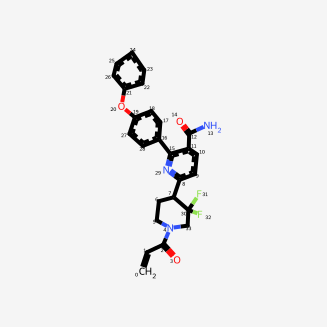 C=CC(=O)N1CCC(c2ccc(C(N)=O)c(-c3ccc(Oc4ccccc4)cc3)n2)C(F)(F)C1